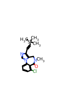 CN1Cc2c(C#C[Si](C)(C)C)ncn2-c2cccc(Cl)c2C1=O